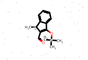 C[C@@H]1C(C=O)=C(O[Si](C)(C)C)c2ccccc21